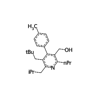 CCCc1nc(CC(C)C)c(CC(C)(C)C)c(-c2ccc(C)cc2)c1CO